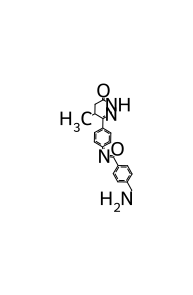 CC1CC(=O)NN=C1c1ccc2nc(-c3ccc(CN)cc3)oc2c1